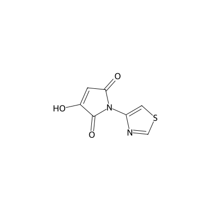 O=C1C=C(O)C(=O)N1c1cscn1